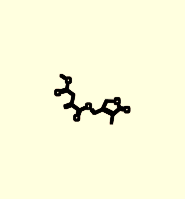 C=C(CC(=O)OC)C(=O)OCC1=C(C)C(=O)OC1